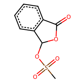 CS(=O)(=O)OC1OC(=O)c2ccccc21